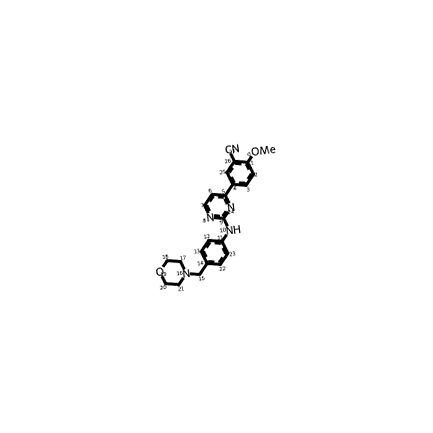 COc1ccc(-c2ccnc(Nc3ccc(CN4CCOCC4)cc3)n2)cc1C#N